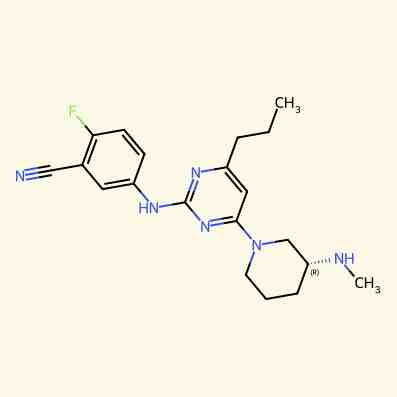 CCCc1cc(N2CCC[C@@H](NC)C2)nc(Nc2ccc(F)c(C#N)c2)n1